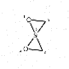 C1O[Si]12CO2